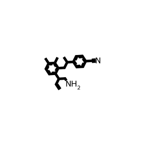 C=CC(CN)c1ccc(C)c(C)c1CC(C)c1ccc(C#N)cc1